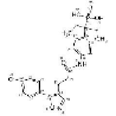 CCC(CC)(c1ccc(NC(=O)CCc2cnoc2-c2ccc(Cl)cc2)cc1)P(=O)(O)O